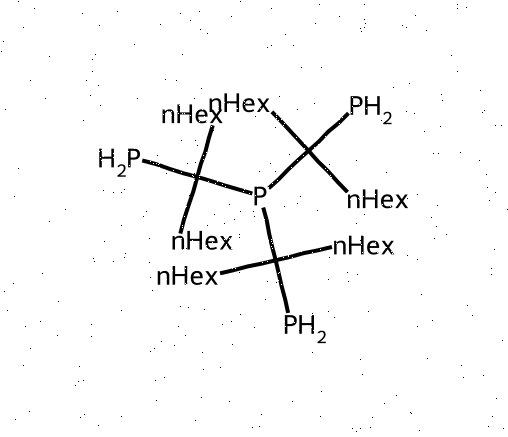 CCCCCCC(P)(CCCCCC)P(C(P)(CCCCCC)CCCCCC)C(P)(CCCCCC)CCCCCC